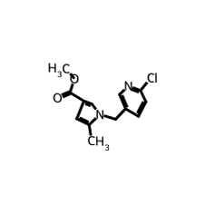 COC(=O)c1cc(C)n(Cc2ccc(Cl)nc2)c1